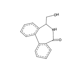 O=C1NC(CO)c2ccccc2-c2ccccc21